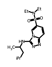 CCN(CC)S(=O)(=O)c1ccc2nnc(NC(C)CC(C)C)n2c1